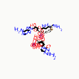 CSS[C@H](CN)CC[C@H](N)C(=O)O[C@H]1[C@@H](O)[C@H](n2cnc3c(N)ncnc32)O[C@@H]1COP(=O)(O)O[C@H]1C[C@H](n2ccc(N)nc2=O)O[C@@H]1COP(=O)(O)O